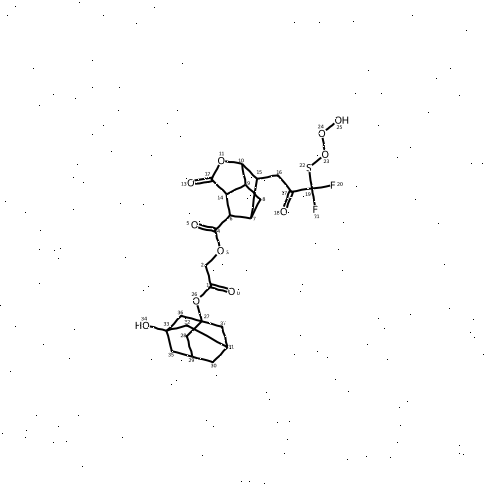 O=C(COC(=O)C1C2CC3C(OC(=O)C31)C2CC(=O)C(F)(F)SOOO)OC12CC3CC(CC(O)(C3)C1)C2